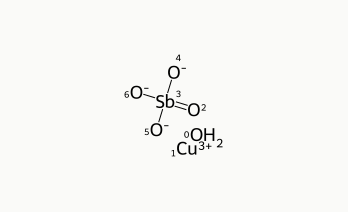 O.[Cu+3].[O]=[Sb]([O-])([O-])[O-]